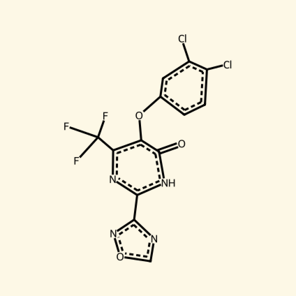 O=c1[nH]c(-c2ncon2)nc(C(F)(F)F)c1Oc1ccc(Cl)c(Cl)c1